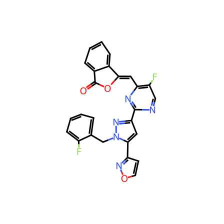 O=C1O/C(=C\c2nc(-c3cc(-c4ccon4)n(Cc4ccccc4F)n3)ncc2F)c2ccccc21